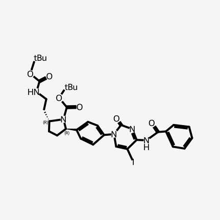 CC(C)(C)OC(=O)NCC[C@H]1CC[C@H](c2ccc(-n3cc(I)c(NC(=O)c4ccccc4)nc3=O)cc2)N1C(=O)OC(C)(C)C